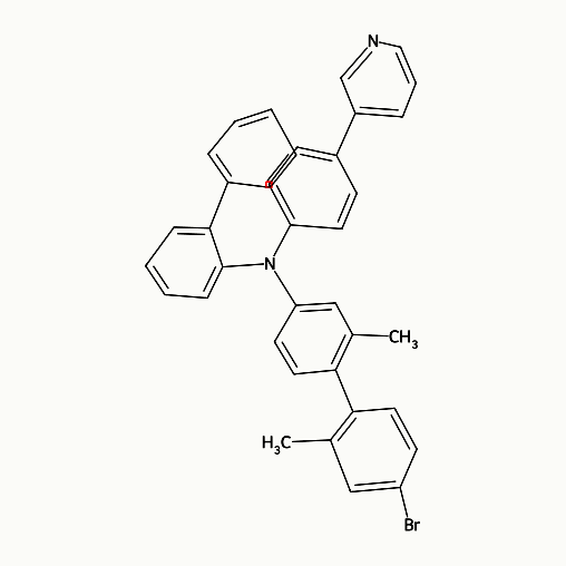 Cc1cc(Br)ccc1-c1ccc(N(c2ccc(-c3cccnc3)cc2)c2ccccc2-c2ccccc2)cc1C